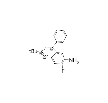 CC(C)(C)[S@@+]([O-])C[C@H](c1ccccc1)c1ccc(F)c(N)c1